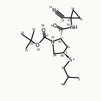 CC(C)CS[C@@H]1C[C@@H](C(=O)NC2(C#N)CC2)N(C(=O)OC(C)(C)C)C1